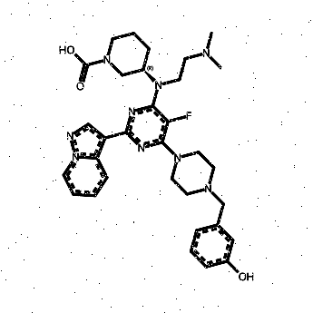 CN(C)CCN(c1nc(-c2cnn3ccccc23)nc(N2CCN(Cc3cccc(O)c3)CC2)c1F)[C@@H]1CCCN(C(=O)O)C1